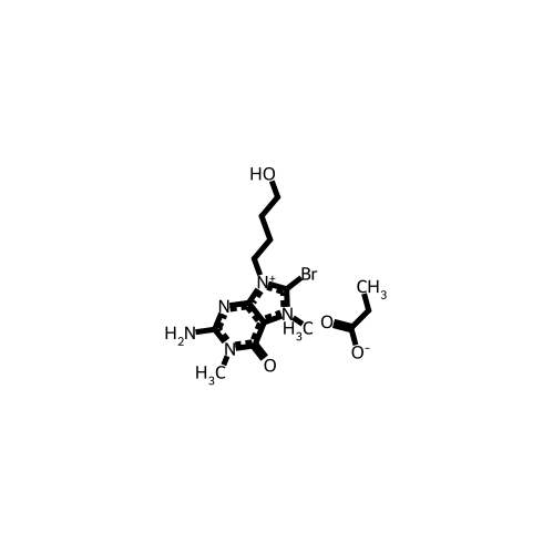 CCC(=O)[O-].Cn1c(N)nc2c(c1=O)n(C)c(Br)[n+]2CCCCO